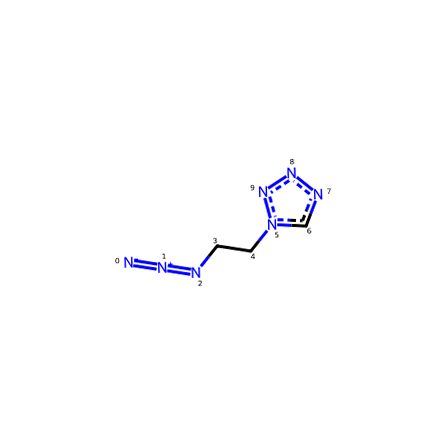 [N-]=[N+]=NCCn1cnnn1